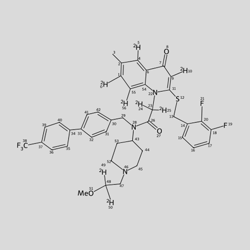 [2H]c1c(C)c([2H])c2c(=O)c([2H])c(SCc3cccc(F)c3F)n(C([2H])([2H])C(=O)N(Cc3ccc(-c4ccc(C(F)(F)F)cc4)cc3)C3CCN(CC([2H])([2H])OC)CC3)c2c1[2H]